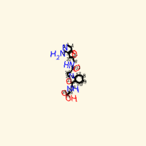 Nc1nccc2oc(CNC(=O)[C@@H]3CCN3C3CCCCC3C(=O)CNCC(=O)O)cc12